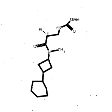 CC[C@H](CNC(=O)OC)C(=O)N(C)C1CC(C2CCCCC2)C1